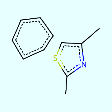 Cc1csc(C)n1.c1ccccc1